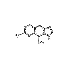 CSc1c2nc(C)ncc2cc2nc[nH]c12